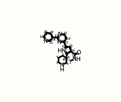 O=C1NC[C@]2(CCCNC2)c2[nH]c(-c3ccnc(-c4cccnc4)n3)cc21